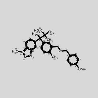 COc1ccc(COCc2cc(C(C)(c3ccc4c(c3)nnn4C)C(C)(C)C(=O)O)ccc2C)cc1